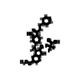 COc1ccc2c(c1)[C@]1(C[C@H]1c1ccc3c(C=Cc4ccncc4)n[nH]c3c1)C(=O)N2.O=C(O)C(F)(F)F